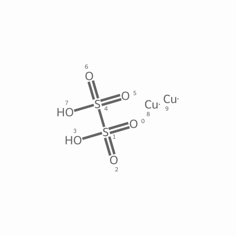 O=S(=O)(O)S(=O)(=O)O.[Cu].[Cu]